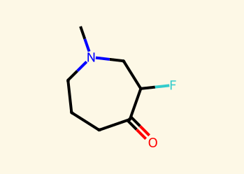 CN1CCCC(=O)C(F)C1